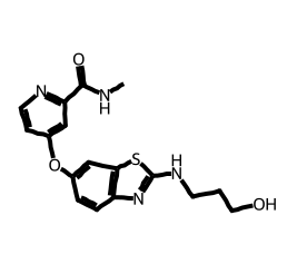 CNC(=O)c1cc(Oc2ccc3nc(NCCCO)sc3c2)ccn1